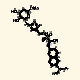 CCCN(CCC)c1ccc2cc(/C=C(\C#N)S(=O)(=O)NCc3cn(C[C@H]4O[C@H](OC)C[C@@H](O)[C@@H]4O)nn3)ccc2c1